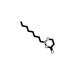 CCCCCCCCB1OCCC(=O)O1